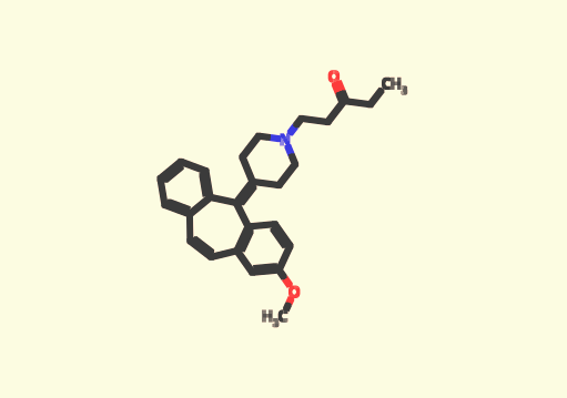 CCC(=O)CCN1CCC(=C2c3ccccc3C=Cc3cc(OC)ccc32)CC1